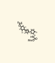 COC(=O)NCc1cc(-c2ccn(-c3ccc(OC(F)F)cc3C)n2)ccc1C